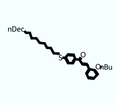 CCCCCCCCCCCCCCCCCCCCSc1ccc(C(=O)C=Cc2ccccc2OCCCC)cc1